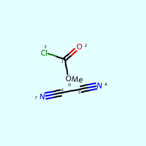 COC(=O)Cl.N#CC#N